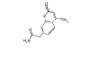 Cc1cc(=O)oc2cc(CC(N)=O)ccc12